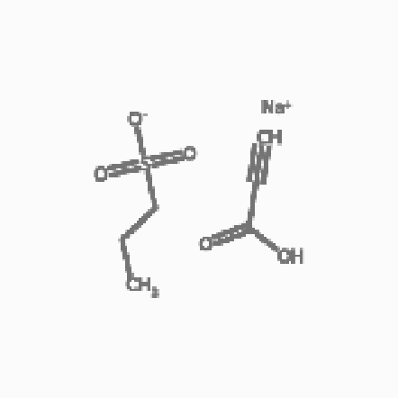 C#CC(=O)O.CCCS(=O)(=O)[O-].[Na+]